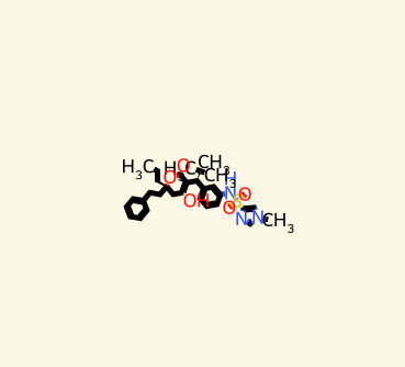 CCC[C@]1(CCc2ccccc2)CC(O)=C([C@@H](c2cccc(NS(=O)(=O)c3cn(C)cn3)c2)C(C)(C)C)C(=O)O1